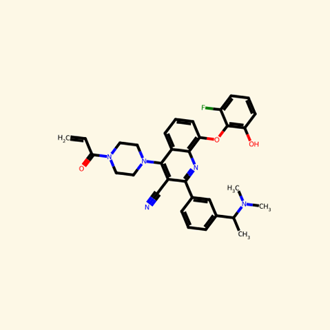 C=CC(=O)N1CCN(c2c(C#N)c(-c3cccc(C(C)N(C)C)c3)nc3c(Oc4c(O)cccc4F)cccc23)CC1